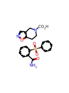 NC(=O)c1ccccc1S(=O)(=O)c1ccccc1.O=C(O)N1CCc2oncc2C1